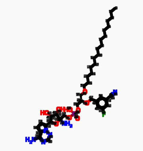 CCCCCCCCCCCCCCCCCCOC[C@@H](COP(=O)(O)OC[C@@]1(N)O[C@@H](c2ccc3c(N)ncnn23)[C@H](O)[C@@H]1O)OCc1cc(F)cc(C#N)c1